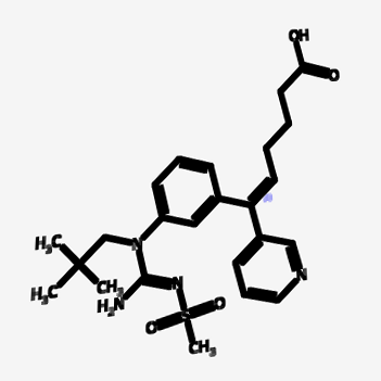 CC(C)(C)CN(C(N)=NS(C)(=O)=O)c1cccc(/C(=C\CCCC(=O)O)c2cccnc2)c1